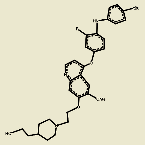 COc1cc2c(Oc3ccc(Nc4ccc(C(C)(C)C)cc4)c(F)c3)ccnc2cc1OCCN1CCC(CCO)CC1